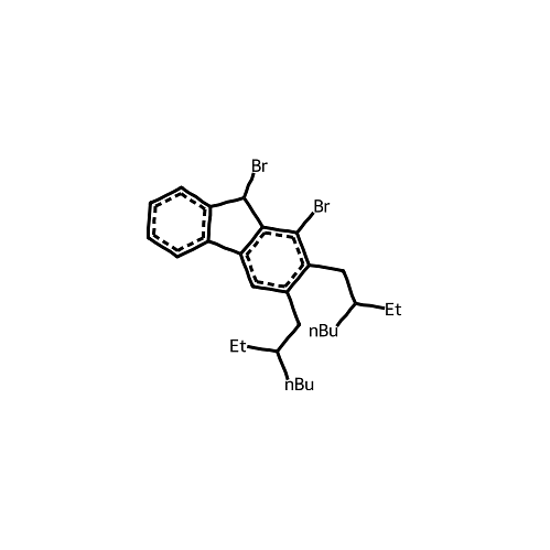 CCCCC(CC)Cc1cc2c(c(Br)c1CC(CC)CCCC)C(Br)c1ccccc1-2